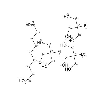 CCC(CO)(CO)CO.CCC(CO)(CO)CO.CCC(CO)(CO)CO.CCCCCCCCCCCCCCCCCC(=O)O